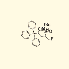 CC(C)(C)OC(=O)C(CF)CC(C(=O)O)C(c1ccccc1)(c1ccccc1)c1ccccc1